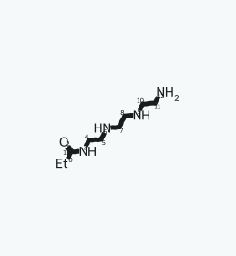 CCC(=O)NCCNCCNCCN